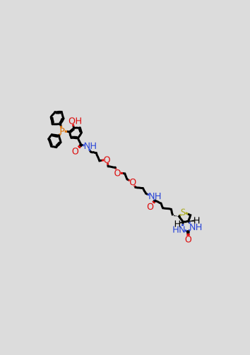 O=C(CCCC[C@@H]1SC[C@@H]2NC(=O)N[C@@H]21)NCCCOCCOCCOCCCNC(=O)c1ccc(O)c(P(c2ccccc2)c2ccccc2)c1